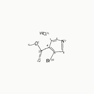 COC(=O)c1ccncc1Br.Cl